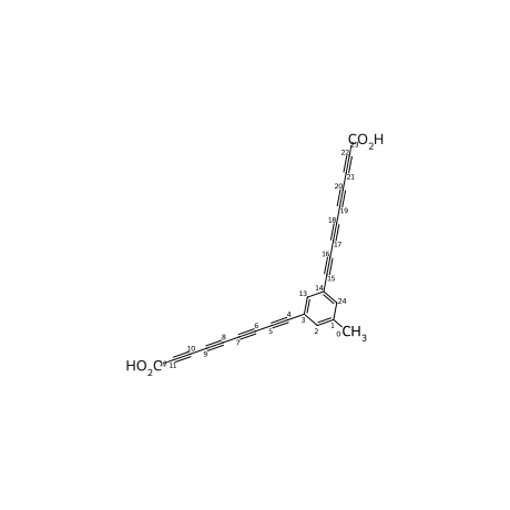 Cc1cc(C#CC#CC#CC#CC(=O)O)cc(C#CC#CC#CC#CC(=O)O)c1